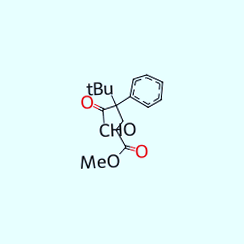 COC(=O)CCC(C(=O)C=O)(c1ccccc1)C(C)(C)C